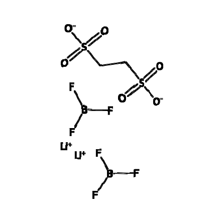 FB(F)F.FB(F)F.O=S(=O)([O-])CCS(=O)(=O)[O-].[Li+].[Li+]